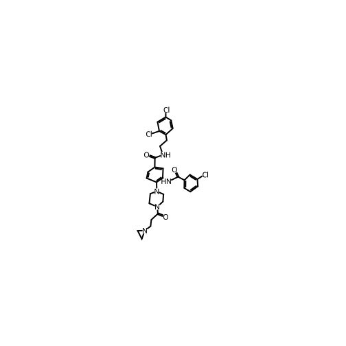 O=C(NCCc1ccc(Cl)cc1Cl)c1ccc(N2CCN(C(=O)CCN3CC3)CC2)c(NC(=O)c2cccc(Cl)c2)c1